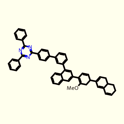 COC1=C(c2cc(-c3cccc(-c4ccc(-c5nc(-c6ccccc6)nc(-c6ccccc6)n5)cc4)c3)c3ccccc3c2)C=CC(C2=CCC3CCC=CC3=C2)C1